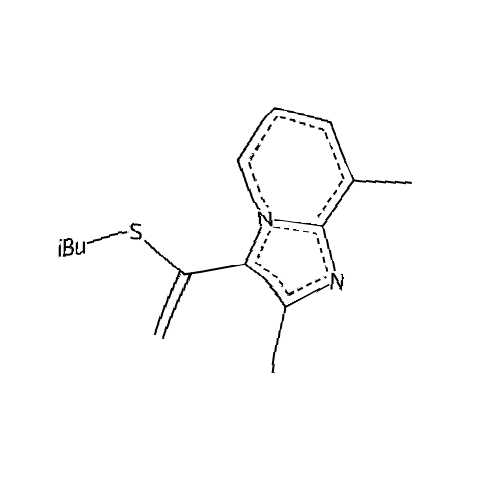 C=C(SC(C)CC)c1c(C)nc2c(C)cccn12